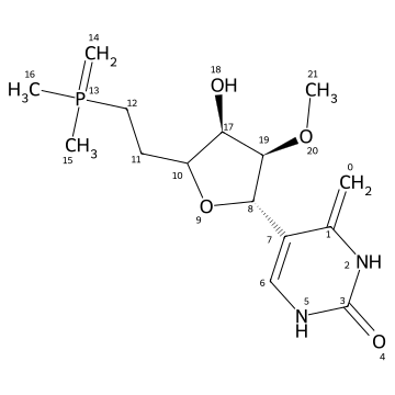 C=C1NC(=O)NC=C1[C@@H]1OC(CCP(=C)(C)C)[C@@H](O)[C@H]1OC